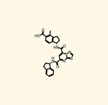 Cc1c(C(=O)O)ccc2c1CC[C@@H]2NC(=O)c1cc(C(=O)N[C@@H]2CCc3ccccc32)nc2ncnn12